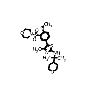 COc1ccc(-c2sc(NC(C)(C)C3CCOCC3)nc2C)cc1S(=O)(=O)N1CCOCC1